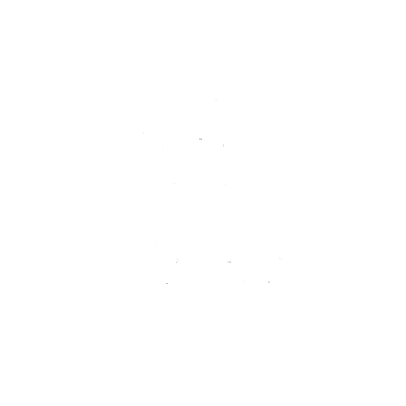 C=C(C)C(=O)OCCOc1ccccc1.C=CC(=O)OCCOc1ccccc1